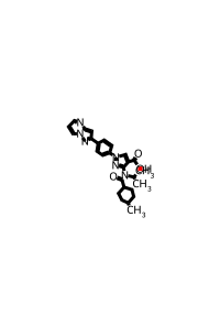 CC1CCC(C(=O)N(c2nn(-c3ccc(-c4cc5ncccn5n4)cc3)cc2C(=O)O)C(C)C)CC1